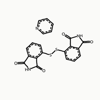 O=C1NC(=O)c2c(SSc3cccc4c3C(=O)NC4=O)cccc21.c1ccncc1